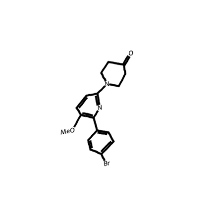 COc1ccc(N2CCC(=O)CC2)nc1-c1ccc(Br)cc1